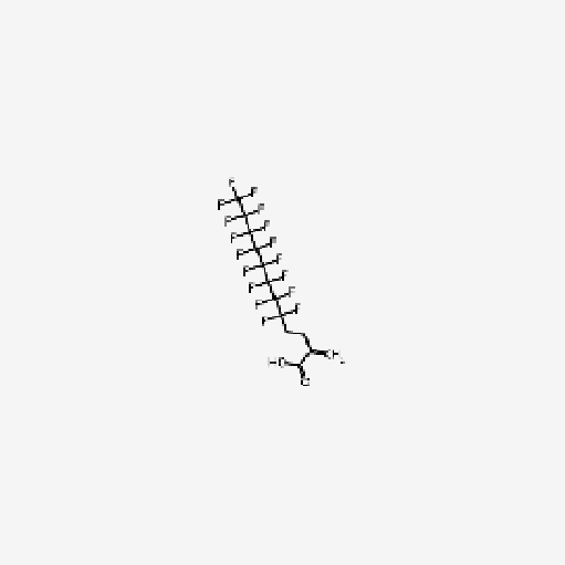 C=C(CCC(F)(F)C(F)(F)C(F)(F)C(F)(F)C(F)(F)C(F)(F)C(F)(F)C(F)(F)F)C(=O)O